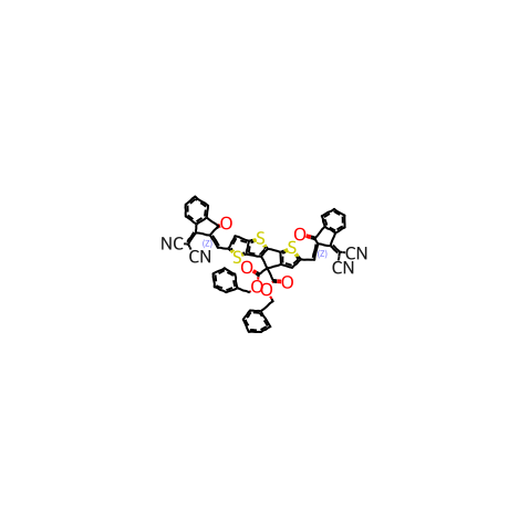 N#CC(C#N)=C1/C(=C/c2cc3c(s2)-c2sc4cc(/C=C5\C(=O)c6ccccc6C5=C(C#N)C#N)sc4c2C3(C(=O)OCc2ccccc2)C(=O)OCc2ccccc2)C(=O)c2ccccc21